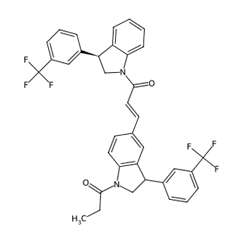 CCC(=O)N1CC(c2cccc(C(F)(F)F)c2)c2cc(/C=C/C(=O)N3C[C@@H](c4cccc(C(F)(F)F)c4)c4ccccc43)ccc21